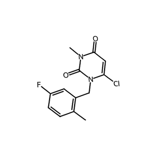 Cc1ccc(F)cc1Cn1c(Cl)cc(=O)n(C)c1=O